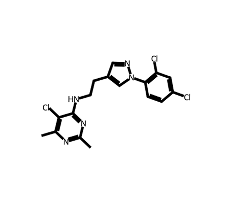 Cc1nc(C)c(Cl)c(NCCc2cnn(-c3ccc(Cl)cc3Cl)c2)n1